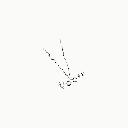 CCCCCCCCCCCCCCCCCCCC[Si]1(CCCCCCCCCCCCCCCCCCCC)c2cc(B3OC(C)(C)C(C)(C)O3)ccc2-c2ccc(B3OC(C)(C)C(C)(C)O3)cc21